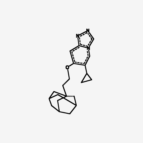 c1c(OCCC23CC4CC(CC(C4)C2)C3)c(C2CC2)cn2cnnc12